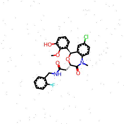 COc1c(O)cccc1[C@@H]1O[C@@H](CC(=O)NCc2ccccc2F)C(=O)N(C)c2ccc(Cl)cc21